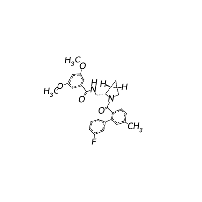 COc1cc(OC)cc(C(=O)NC[C@@H]2[C@@H]3C[C@@H]3CN2C(=O)c2ccc(C)cc2-c2cccc(F)c2)c1